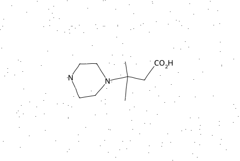 CC(C)(CC(=O)O)N1CC[N]CC1